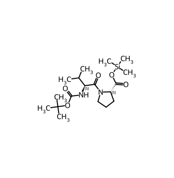 CC(C)[C@H](NC(=O)OC(C)(C)C)C(=O)N1CCC[C@H]1C(=O)O[Si](C)(C)C